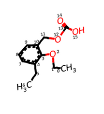 CCOc1c(CC)cccc1COC(=O)O